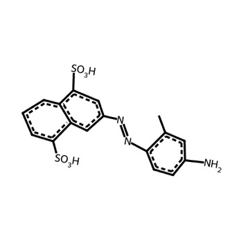 Cc1cc(N)ccc1N=Nc1cc(S(=O)(=O)O)c2cccc(S(=O)(=O)O)c2c1